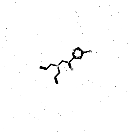 C=CCN(CC=C)CC(=N)c1cc(Br)cs1